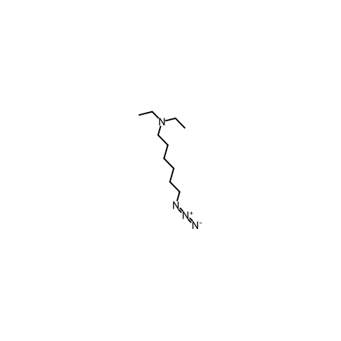 CCN(CC)CCCCCCN=[N+]=[N-]